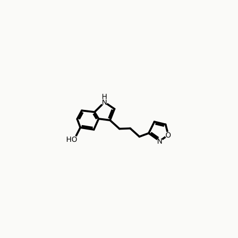 Oc1ccc2[nH]cc(CCCc3ccon3)c2c1